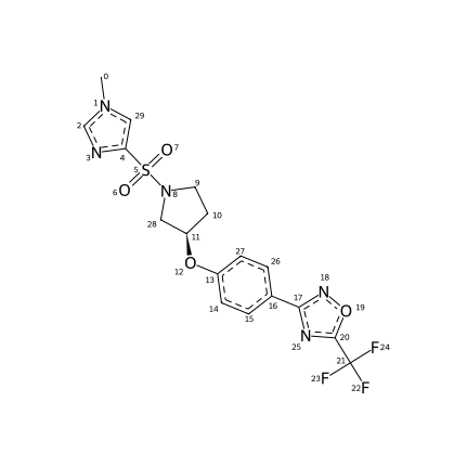 Cn1cnc(S(=O)(=O)N2CC[C@@H](Oc3ccc(-c4noc(C(F)(F)F)n4)cc3)C2)c1